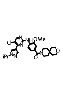 COc1cc(C(=O)N2CCC3(CCOCC3)CC2)ccc1Nc1ncc(Cl)c(-c2cnn(C(C)C)c2)n1